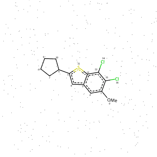 COc1cc2cc(C3CCCC3)sc2c(Cl)c1Cl